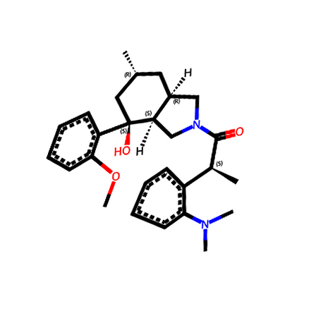 COc1ccccc1[C@]1(O)C[C@H](C)C[C@H]2CN(C(=O)[C@@H](C)c3ccccc3N(C)C)C[C@H]21